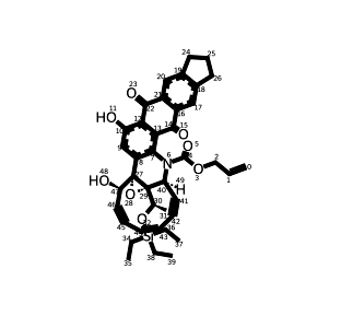 C=CCOC(=O)N1c2c(cc(O)c3c2C(=O)c2cc4c(cc2C3=O)CCC4)[C@@]23O[C@@]2([C@@H](C)O[Si](CC)(CC)CC)[C@@H]1C#C/C=C\C#C[C@H]3O